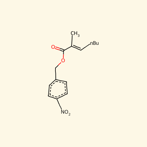 CCCCC=C(C)C(=O)OCc1ccc([N+](=O)[O-])cc1